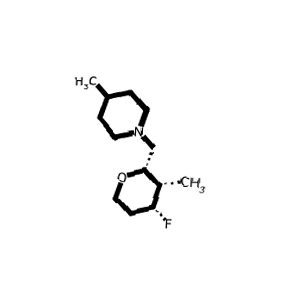 CC1CCN(C[C@H]2OCC[C@@H](F)[C@H]2C)CC1